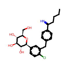 CCCCC(=N)c1ccc(Cc2cc([C@@H]3O[C@H](CO)[C@@H](O)[C@H](O)[C@H]3O)ccc2Cl)cc1